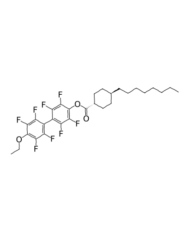 CCCCCCCC[C@H]1CC[C@H](C(=O)Oc2c(F)c(F)c(-c3c(F)c(F)c(OCC)c(F)c3F)c(F)c2F)CC1